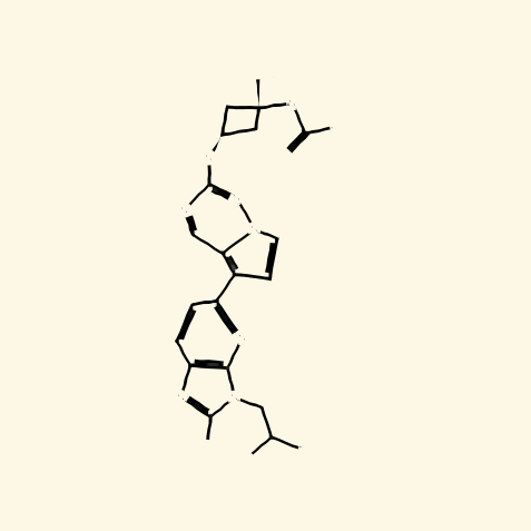 CC(=O)N[C@]1(C)C[C@@H](Nc2ncc3c(-c4ccc5nc(C)n(CC(F)F)c5n4)ccn3n2)C1